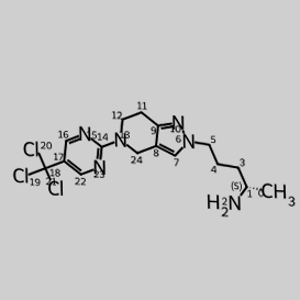 C[C@H](N)CCCn1cc2c(n1)CCN(c1ncc(C(Cl)(Cl)Cl)cn1)C2